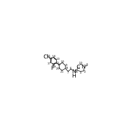 CN1CCC(NCCC2CCC(c3ccc(Cl)cc3F)CC2)CC1